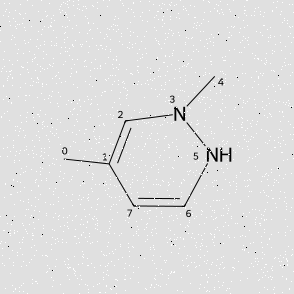 CC1=CN(C)NC=C1